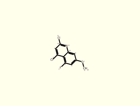 COc1cc(F)c2c(Cl)cc(Cl)nc2c1